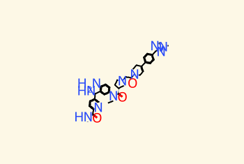 CCN(C(=O)[C@@H]1CCN(CC(=O)N2CC=C(c3ccc(-c4ncn(C)n4)cc3)CC2)C1)c1ccc(N)c(C(=N)c2ccc(C(=O)NC)nc2)c1